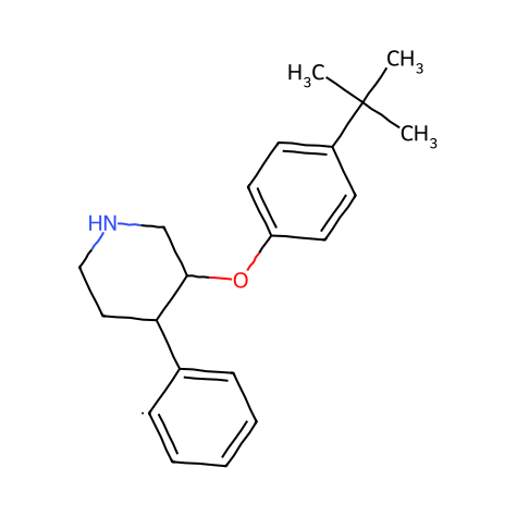 CC(C)(C)c1ccc(OC2CNCCC2c2[c]cccc2)cc1